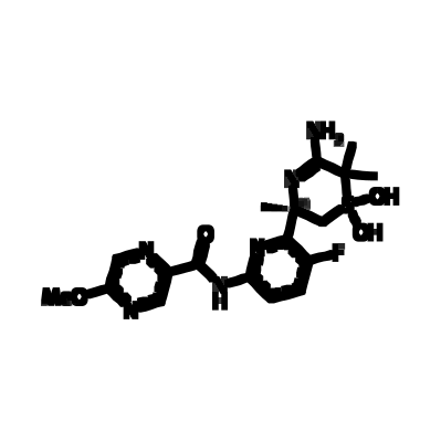 COc1cnc(C(=O)Nc2ccc(F)c([C@]3(C)CS(O)(O)C(C)(C)C(N)=N3)n2)cn1